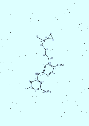 CNc1cc(C)nc(Nc2ccc(OC)c(OCCCN(C)C3CC3)c2)n1